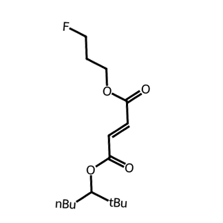 CCCCC(OC(=O)C=CC(=O)OCCCF)C(C)(C)C